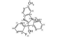 Cc1ccc2nc(C(O)(c3ccccc3)c3ncccc3F)n(C)c2c1